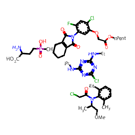 CCCCCOC(=O)COc1cc(N2C(=O)C3=C(CCCC3)C2=O)c(F)cc1Cl.CCNc1nc(Cl)nc(NC(C)C)n1.CCc1cccc(C)c1N(C(=O)CCl)C(C)COC.CP(=O)(O)CCC(N)C(=O)O